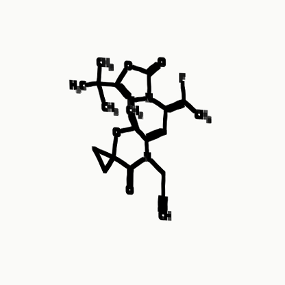 C#CCN1C(=O)C2(CC2)OC(=C)/C1=C\C(=C(/C)F)n1nc(C(C)(C)C)oc1=O